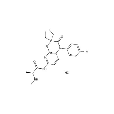 CCC1(CC)Oc2nc(NC(=O)[C@H](C)NC)ccc2N(c2ccc(Cl)cc2)C1=O.Cl